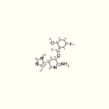 COc1ccc(F)cc1[C@@H](C)Oc1cc(-c2c(C)ncn2C)cnc1N